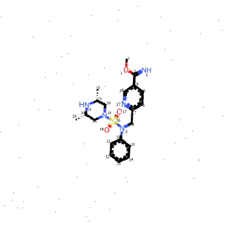 COC(=N)c1ccc(CN(c2ccccc2)S(=O)(=O)N2C[C@@H](C)N[C@@H](C)C2)nc1